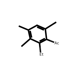 CCc1c(C)c(C)cc(C)c1C(C)=O